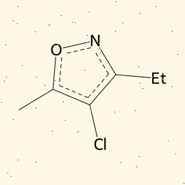 CCc1noc(C)c1Cl